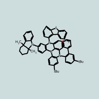 Cc1cc2c3c(c1)N(c1cccc4sc5ccccc5c14)c1cc(N4c5ccccc5C5(C)CCCCC45C)ccc1B3c1ccc(C(C)(C)C)cc1N2c1ccc(C(C)(C)C)cc1-c1ccccc1